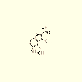 CCc1c(N)ccc2sc(C(=O)O)c(C)c12